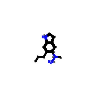 CCCc1cc2[nH]ccc2cc1N(C)N